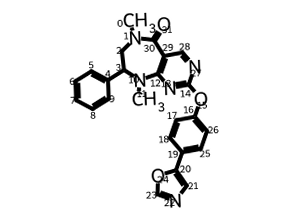 CN1CC(c2ccccc2)N(C)c2nc(Oc3ccc(-c4cnco4)cc3)ncc2C1=O